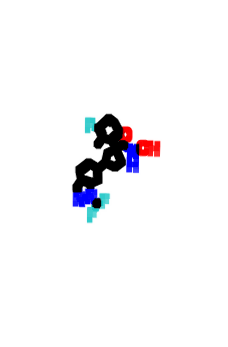 Cc1c(F)cccc1C1(C(=O)NO)CCC(c2ccc3cnn(C(F)F)c3c2)C1